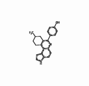 Oc1ccc(-c2nc3ccc4[nH]ccc4c3c3c2CC(C(F)(F)F)CC3)cc1